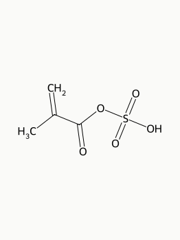 C=C(C)C(=O)OS(=O)(=O)O